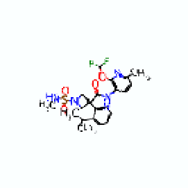 CNS(=O)(=O)N1CC(C(=O)Nc2ccc(C)nc2OC(F)F)(c2ccccc2C(C)C)C1